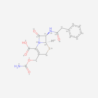 NC(=O)OCC1=C(C(=O)O)N2C(=O)[C@@H](NC(=O)Cc3ccccc3)[C@H]2SC1